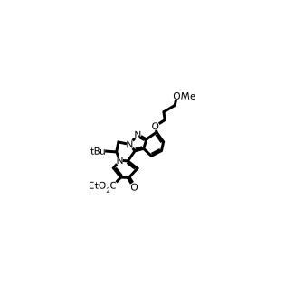 CCOC(=O)c1cn2c(cc1=O)-c1c3cccc(OCCCOC)c3nn1CC2C(C)(C)C